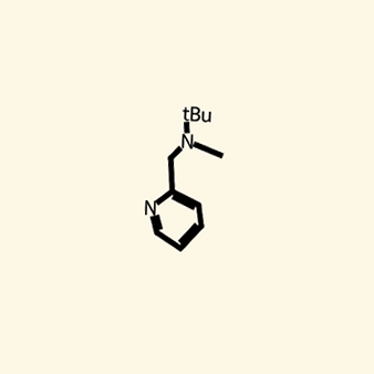 CN(Cc1ccccn1)C(C)(C)C